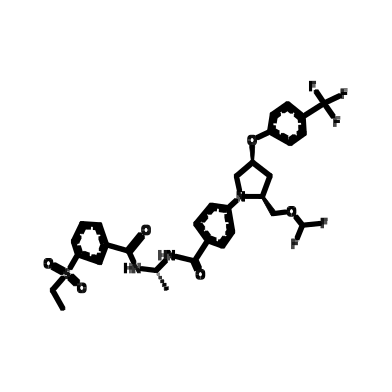 CCS(=O)(=O)c1cccc(C(=O)N[C@@H](C)NC(=O)c2ccc(N3C[C@@H](Oc4ccc(C(F)(F)F)cc4)C[C@H]3COC(F)F)cc2)c1